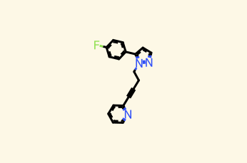 Fc1ccc(-c2ccnn2CCC#Cc2ccccn2)cc1